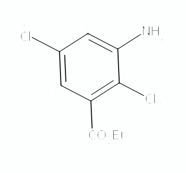 CCOC(=O)c1cc(Cl)cc(N)c1Cl